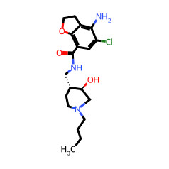 CCCCN1CC[C@H](CNC(=O)c2cc(Cl)c(N)c3c2OCC3)[C@@H](O)C1